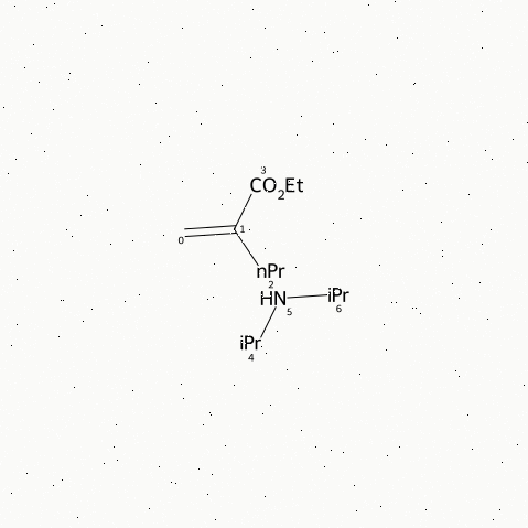 C=C(CCC)C(=O)OCC.CC(C)NC(C)C